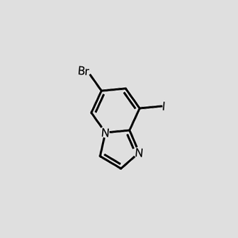 Brc1cc(I)c2nccn2c1